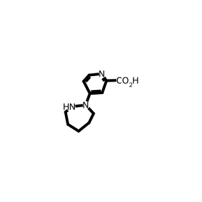 O=C(O)c1cc(N2CCCCCN2)ccn1